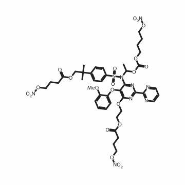 COc1ccccc1Oc1c(OCCOC(=O)CCCO[N+](=O)[O-])nc(-c2ncccn2)nc1N(C(C)OC(=O)OCCCCO[N+](=O)[O-])S(=O)(=O)c1ccc(C(C)(C)COC(=O)CCCO[N+](=O)[O-])cc1